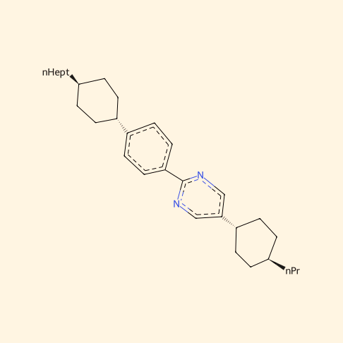 CCCCCCC[C@H]1CC[C@H](c2ccc(-c3ncc([C@H]4CC[C@H](CCC)CC4)cn3)cc2)CC1